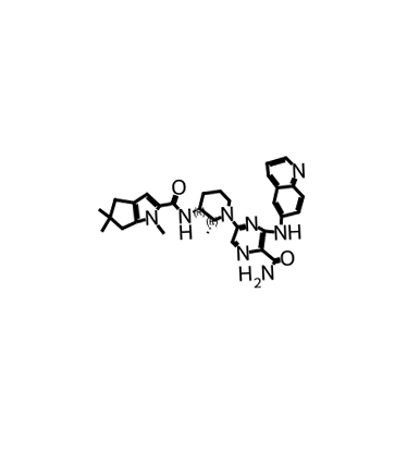 C[C@@H]1[C@H](NC(=O)c2cc3c(n2C)CC(C)(C)C3)CCCN1c1cnc(C(N)=O)c(Nc2ccc3ncccc3c2)n1